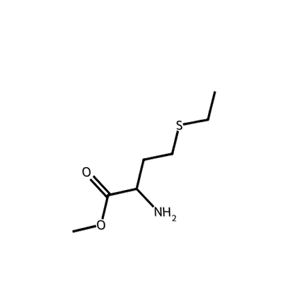 CCSCCC(N)C(=O)OC